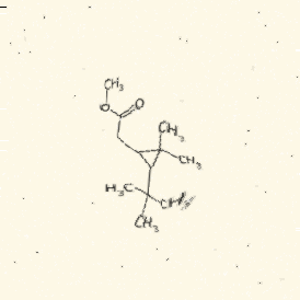 COC(=O)CC1C(C(C)(C)C)C1(C)C